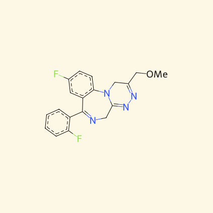 COCC1=NN=C2CN=C(c3ccccc3F)c3cc(F)ccc3N2C1